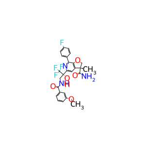 COc1cccc(C(=O)NC[C@](O)(c2cc3c(c(-c4ccc(F)cc4)n2)OC[C@]3(C)C(N)=O)C(F)(F)F)c1